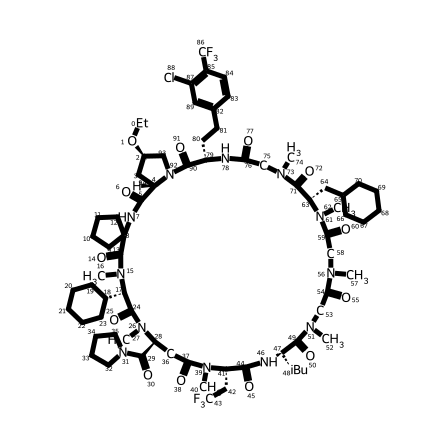 CCO[C@@H]1C[C@H]2C(=O)NC3(CCCC3)C(=O)N(C)[C@@H](C3CCCCC3)C(=O)N(C)[C@H](C(=O)N3CCCC3)CC(=O)N(C)[C@@H](CC(F)(F)F)C(=O)N[C@@H]([C@@H](C)CC)C(=O)N(C)CC(=O)N(C)CC(=O)N(C)[C@@H](CC3CCCCC3)C(=O)N(C)CC(=O)N[C@@H](CCc3ccc(C(F)(F)F)c(Cl)c3)C(=O)N2C1